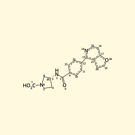 O=C(N[C@@H]1CCN(C(=O)O)C1)c1ccc(-c2nccc3occc23)cc1